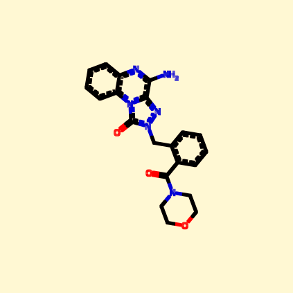 Nc1nc2ccccc2n2c(=O)n(Cc3ccccc3C(=O)N3CCOCC3)nc12